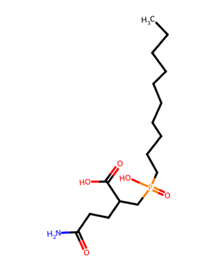 CCCCCCCCCCP(=O)(O)CC(CCC(N)=O)C(=O)O